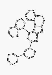 c1ccc(-c2cccc(-c3nc(-c4cccc5ccccc45)c4c(n3)sc3ccc5ccccc5c34)c2)cc1